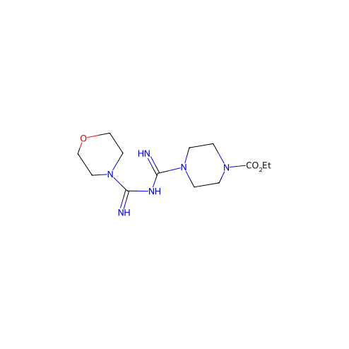 CCOC(=O)N1CCN(C(=N)NC(=N)N2CCOCC2)CC1